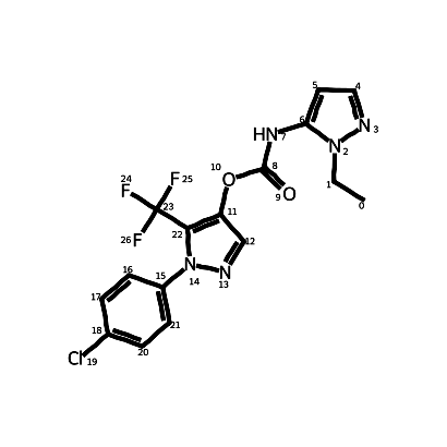 CCn1nccc1NC(=O)Oc1cnn(-c2ccc(Cl)cc2)c1C(F)(F)F